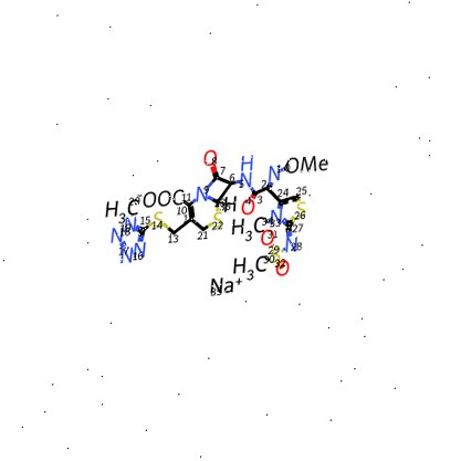 CON=C(C(=O)NC1C(=O)N2C(C(=O)[O-])=C(CSc3nnnn3C)CS[C@@H]12)c1csc(=NS(C)(=O)=O)n1C.[Na+]